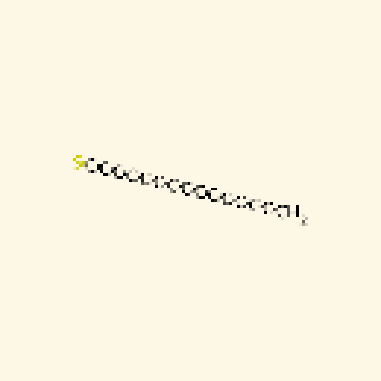 C=C=C=C=C=C=C=C=C=C=C=C=C=C=C=S